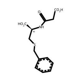 O=C(O)CC(=O)N[C@@H](CSCc1ccccc1)C(=O)O